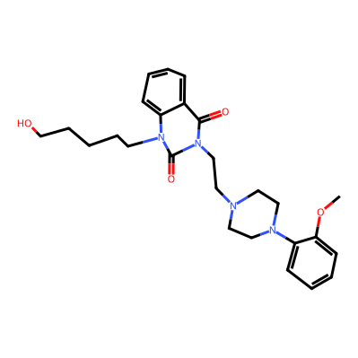 COc1ccccc1N1CCN(CCn2c(=O)c3ccccc3n(CCCCCO)c2=O)CC1